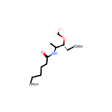 BCO[C@H](COC)C(C)NC(=O)CCCCCCCCCCCCC